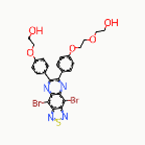 OCCOCCOc1ccc(-c2nc3c(Br)c4nsnc4c(Br)c3nc2-c2ccc(OCCO)cc2)cc1